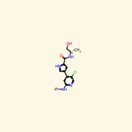 CC(C)Nc1cc(-c2c[nH]c(C(=O)N[C@@H](C)CO)c2)c(Cl)cn1